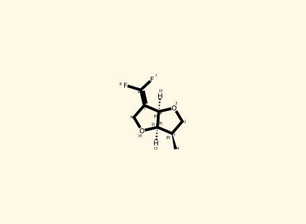 C[C@@H]1CO[C@@H]2C(=C(F)F)CO[C@H]12